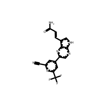 N#Cc1cc(-c2cnc3[nH]cc(/C=C/C(N)=O)c3n2)cc(C(F)(F)F)n1